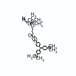 CC(C)N(C(C)C)P(OCCC#N)OCCCCC(=O)N1CCN(c2ccc(C(=C3C=CC(=[N+](C)C)C=C3)c3ccc(N(C)C)cc3)cc2)CC1